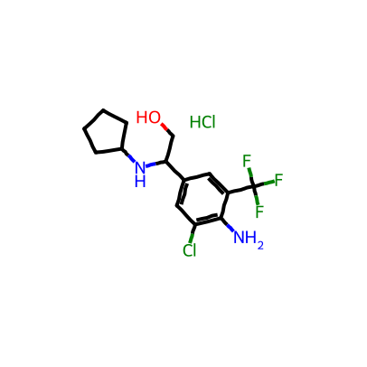 Cl.Nc1c(Cl)cc(C(CO)NC2CCCC2)cc1C(F)(F)F